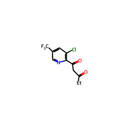 CCC(=O)CC(=O)c1ncc(C(F)(F)F)cc1Cl